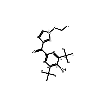 CCSn1ccc(C(=O)c2cc(C(C)(C)C)c(O)c(C(C)(C)C)c2)c1